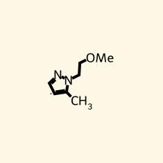 COCCn1nc[c]c1C